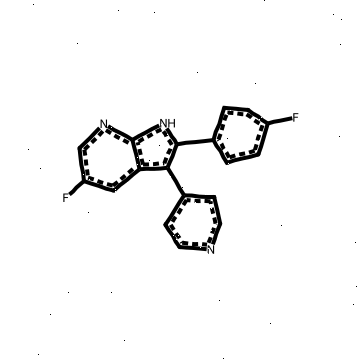 Fc1ccc(-c2[nH]c3ncc(F)cc3c2-c2ccncc2)cc1